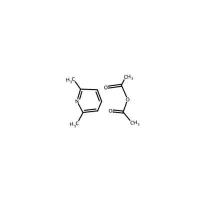 CC(=O)OC(C)=O.Cc1cccc(C)n1